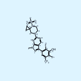 Cn1nc(-c2cc(C(F)(F)F)c(F)c(O)c2F)c2cnc(N3CCN(S(C)(=O)=O)C4(CC4)C3)nc21